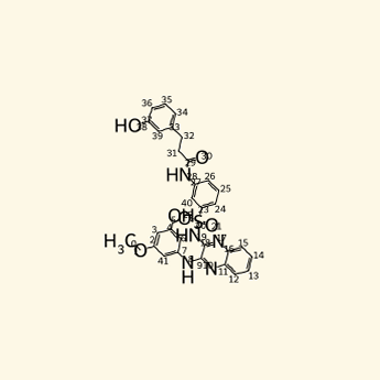 COc1cc(O)cc(Nc2nc3ccccc3nc2NS(=O)(=O)c2cccc(NC(=O)CCc3cccc(O)c3)c2)c1